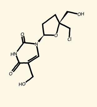 O=c1[nH]c(=O)n([C@H]2CC[C@](CO)(CCl)O2)cc1CO